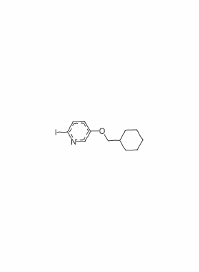 Ic1ccc(OCC2CCCCC2)cn1